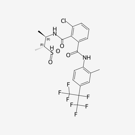 Cc1cc(C(F)(C(F)(F)F)C(F)(F)F)ccc1NC(=O)c1cccc(Cl)c1C(=O)N[C@H](C)[C@@H](C)[SH](=O)=O